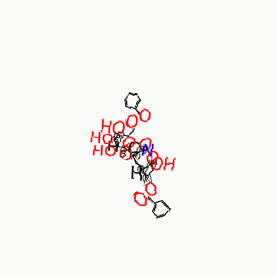 C[C@]12ON1O[C@]1(O)C[C@]3(COC(=O)c4ccccc4)[C@H]1C[C@@]32O[C@@H]1OC(COC(=O)c2ccccc2)[C@@H](O)[C@H](O)C1O